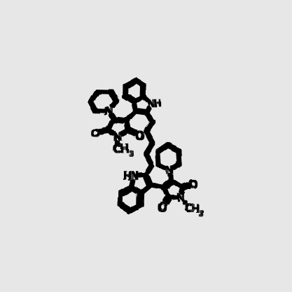 CN1C(=O)C(c2c(CCCCCc3[nH]c4ccccc4c3C3=C(N4CCCCC4)C(=O)N(C)C3=O)[nH]c3ccccc23)=C(N2CCCCC2)C1=O